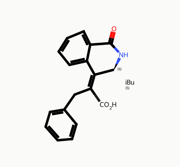 CC[C@H](C)[C@@H]1NC(=O)c2ccccc2C1=C(Cc1ccccc1)C(=O)O